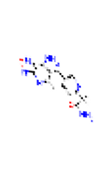 Cc1nc2nonc2c(N)c1Cc1ccc(C2(C(N)=O)CC2)nc1